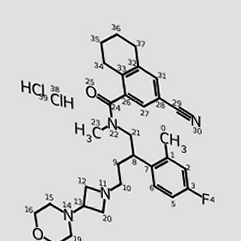 Cc1cc(F)ccc1C(CCN1CC(N2CCOCC2)C1)CN(C)C(=O)c1cc(C#N)cc2c1CCCC2.Cl.Cl